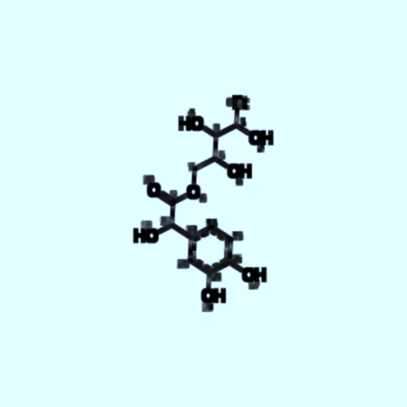 CCC(O)C(O)C(O)COC(=O)C(O)c1ccc(O)c(O)c1